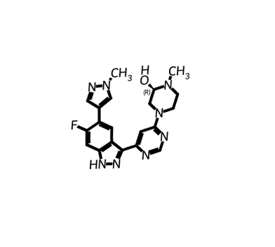 CN1CCN(c2cc(-c3n[nH]c4cc(F)c(-c5cnn(C)c5)cc34)ncn2)C[C@H]1O